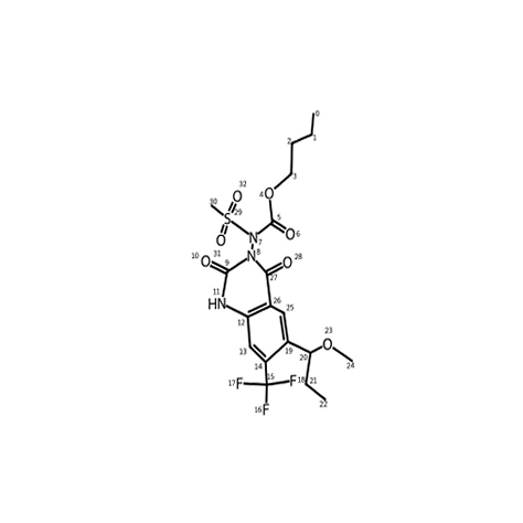 CCCCOC(=O)N(n1c(=O)[nH]c2cc(C(F)(F)F)c(C(CC)OC)cc2c1=O)S(C)(=O)=O